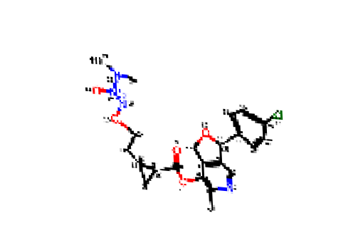 Cc1ncc2c(c1OC(=O)[C@H]1C[C@H]1CCO/N=[N+](\[O-])N(C)C(C)(C)C)CO[C@H]2c1ccc(Cl)cc1